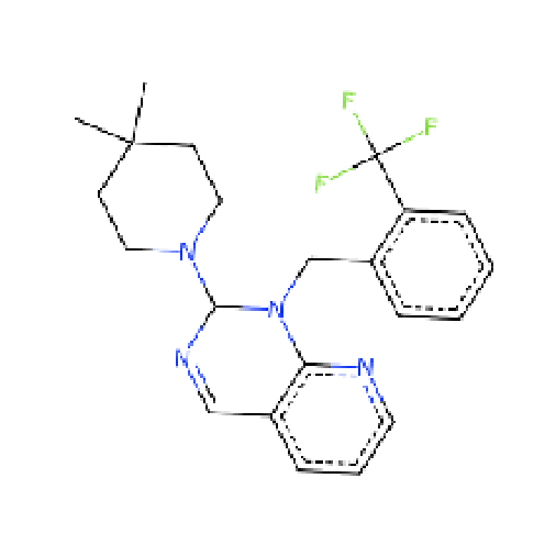 CC1(C)CCN(C2N=Cc3cccnc3N2Cc2ccccc2C(F)(F)F)CC1